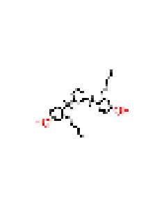 CCCCCc1cc(O)ccc1C(C)(C)c1cccc(C(C)(C)c2ccc(O)cc2CCCCC)c1